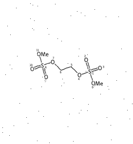 COS(=O)(=O)OCCOS(=O)(=O)OC